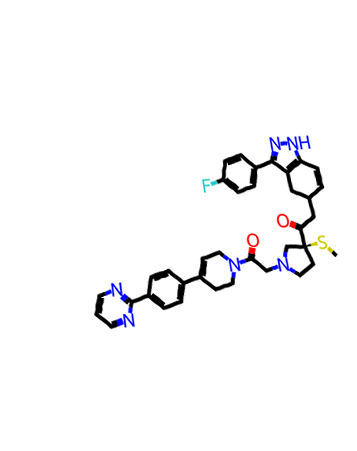 CS[C@@]1(C(=O)CC2C=Cc3[nH]nc(-c4ccc(F)cc4)c3C2)CCN(CC(=O)N2CC=C(c3ccc(-c4ncccn4)cc3)CC2)C1